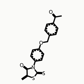 C=C1SC(=S)N(c2ccc(OCc3ccc(C(C)=O)cc3)cc2)C1=O